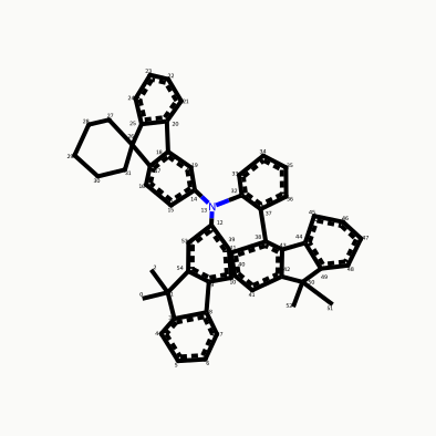 CC1(C)c2ccccc2-c2ccc(N(c3ccc4c(c3)-c3ccccc3C43CCCCC3)c3ccccc3-c3cccc4c3-c3ccccc3C4(C)C)cc21